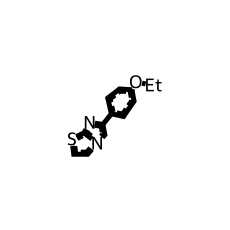 [CH2]COc1ccc(-c2cn3ccsc3n2)cc1